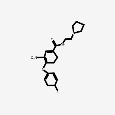 O=C(NCCN1CCCC1)C1=CC([N+](=O)[O-])=C(SC2=CCC(F)C=C2)CC1